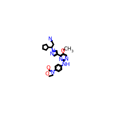 COc1cnc(Nc2ccc(N3CCOC3=O)cc2)nc1-c1cnn(C(CC#N)C2CCCC2)c1